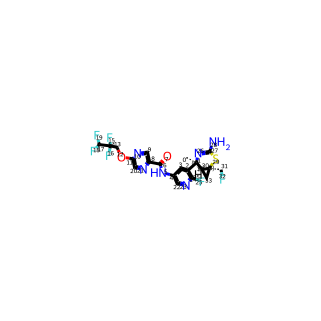 C[C@]1(c2cc(NC(=O)c3cnc(OCC(F)(F)C(F)F)cn3)cnc2F)N=C(N)S[C@@]2(CF)C[C@H]21